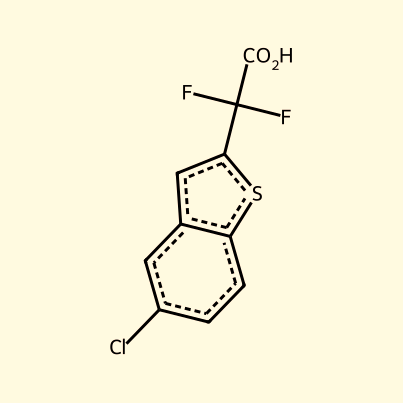 O=C(O)C(F)(F)c1cc2cc(Cl)ccc2s1